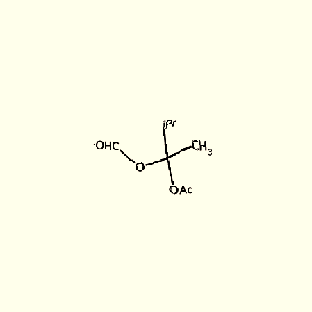 CC(=O)OC(C)(O[C]=O)C(C)C